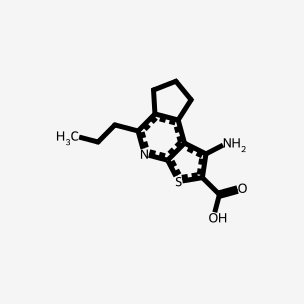 CCCc1nc2sc(C(=O)O)c(N)c2c2c1CCC2